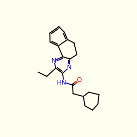 CCc1nc2c(nc1NC(=O)CC1CCCCC1)CCc1ccccc1-2